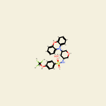 O=S(=O)(N[C@@H]1COCC(N2c3ccccc3Oc3ccccc32)[C@H]1O)c1ccc(OC(F)(F)F)cc1